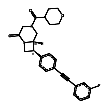 O=C(C1CCOCC1)N1CC(=O)N2C[C@H](c3ccc(C#Cc4cccc(F)c4)cc3)[C@H]2C1